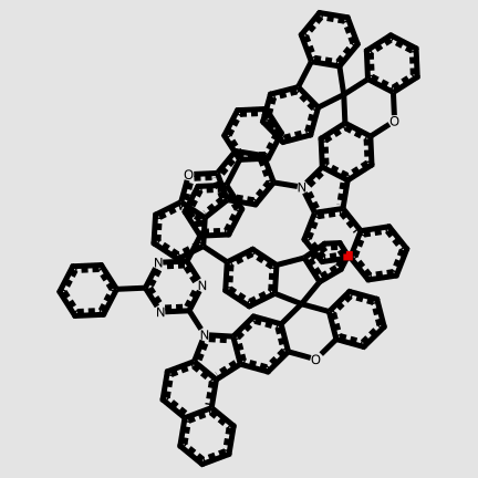 c1ccc(-c2ccc(-c3nc(-c4ccccc4)nc(-n4c5cc6c(cc5c5c7ccccc7ccc54)Oc4ccccc4C64c5ccccc5-c5cc(-c6cccc7oc8ccc(-n9c%10cc%11c(cc%10c%10c%12ccccc%12ccc%109)Oc9ccccc9C%119c%10ccccc%10-c%10ccccc%109)cc8c67)ccc54)n3)cc2)cc1